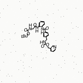 CC(C)(C)OC(=O)NCC(=O)Nc1ccccc1NC(=O)c1ccc(CNC(=O)OCc2cccnc2)cc1